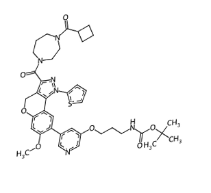 COc1cc2c(cc1-c1cncc(OCCCNC(=O)OC(C)(C)C)c1)-c1c(c(C(=O)N3CCCN(C(=O)C4CCC4)CC3)nn1-c1cccs1)CO2